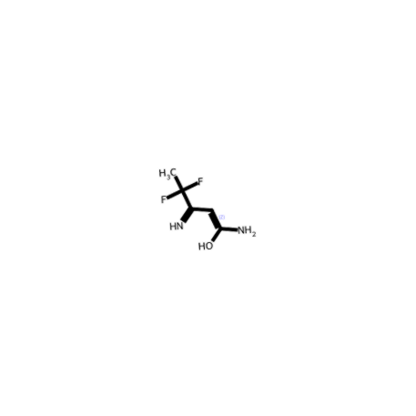 CC(F)(F)C(=N)/C=C(/N)O